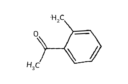 [CH2]c1ccccc1C(C)=O